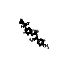 CN1CCN(/C(N)=N/C(=N)Sc2ccc(NC(=O)C3CC3)cc2)CC1